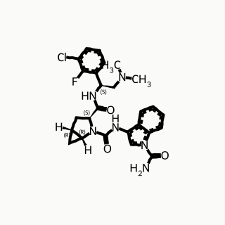 CN(C)C[C@@H](NC(=O)[C@@H]1C[C@H]2C[C@H]2N1C(=O)Nc1cn(C(N)=O)c2ccccc12)c1cccc(Cl)c1F